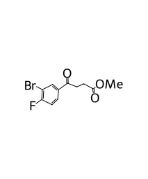 COC(=O)CCC(=O)c1ccc(F)c(Br)c1